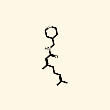 CC(C)=CCCC(C)=CC(=O)NCC1CCOCC1